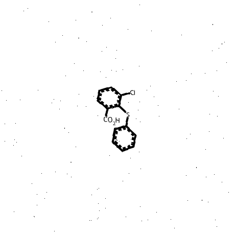 O=C(O)c1cccc(Cl)c1Sc1ccccc1